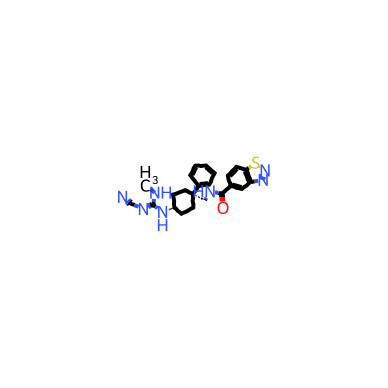 CN/C(=N\C#N)N[C@H]1CC[C@](CNC(=O)c2ccc3snnc3c2)(c2ccccc2)CC1